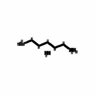 CCCCCCCC[CH2][AlH2].[HH]